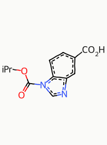 CC(C)OC(=O)n1cnc2cc(C(=O)O)ccc21